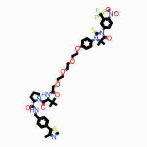 Cc1ncsc1-c1ccc(CNC(=O)[C@@H]2CCCN2C(=O)C(NC(=O)COCCOCCOCCOc2ccc(N3C(=S)N(c4ccc([N+](=O)[O-])c(C(F)(F)F)c4)C(=O)C3(C)C)cc2)C(C)(C)C)cc1